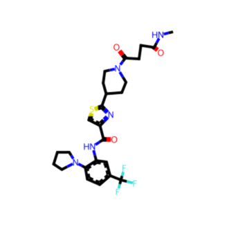 CNC(=O)CCC(=O)N1CCC(c2nc(C(=O)Nc3cc(C(F)(F)F)ccc3N3CCCC3)cs2)CC1